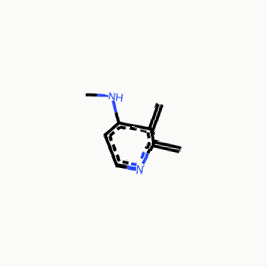 C=c1nccc(NC)c1=C